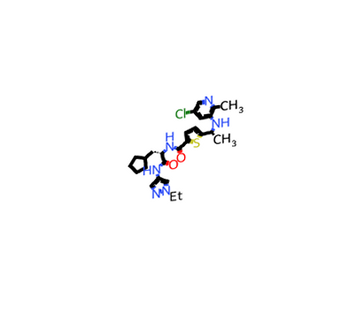 CCn1cc(NC(=O)[C@H](CC2CCCC2)NC(=O)c2ccc([C@H](C)Nc3cc(Cl)cnc3C)s2)cn1